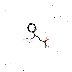 CCC(=O)CCC(C(=O)O)c1ccccc1